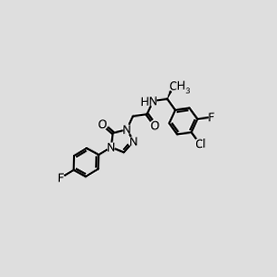 C[C@H](NC(=O)Cn1ncn(-c2ccc(F)cc2)c1=O)c1ccc(Cl)c(F)c1